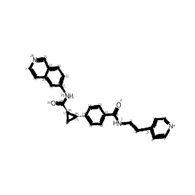 O=C(NCCc1ccncc1)c1ccc([C@@H]2C[C@H]2C(=O)Nc2ccc3cnccc3c2)cc1